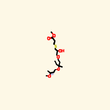 CCC(C)(CCOCC(O)CSCCC(=O)OC)OC/C=C(\C)OC